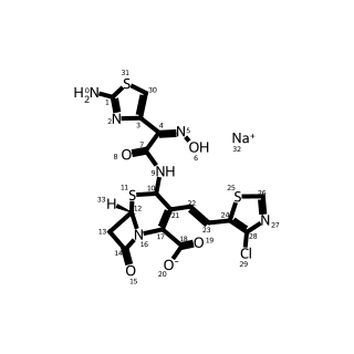 Nc1nc(C(=NO)C(=O)NC2S[C@H]3CC(=O)N3C(C(=O)[O-])=C2C=Cc2scnc2Cl)cs1.[Na+]